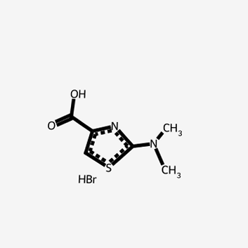 Br.CN(C)c1nc(C(=O)O)cs1